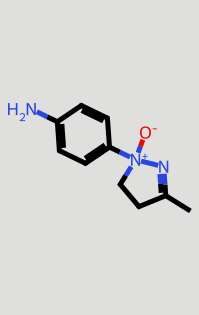 CC1=N[N+]([O-])(c2ccc(N)cc2)CC1